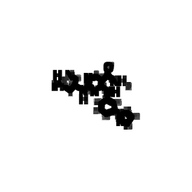 CC(C)CC(CN)Nc1ncc(C(N)=O)c(Nc2cccc(-n3cccn3)c2)n1